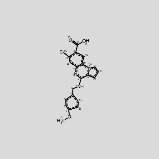 COc1ccc(CNc2nc3cc(Cl)c(C(=O)O)cc3n3cccc23)cc1